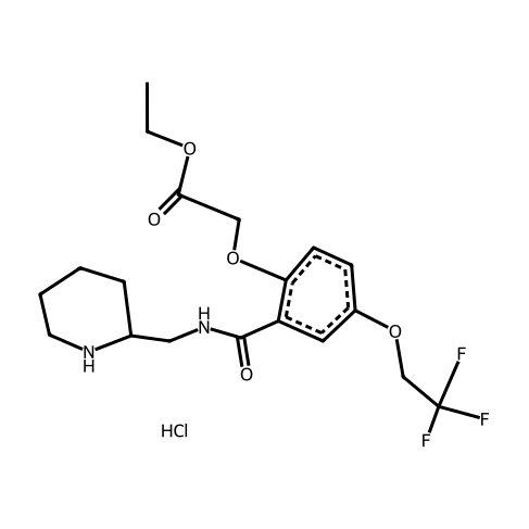 CCOC(=O)COc1ccc(OCC(F)(F)F)cc1C(=O)NCC1CCCCN1.Cl